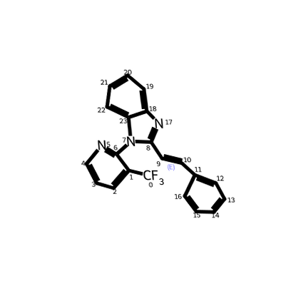 FC(F)(F)c1cccnc1-n1c(/C=C/c2ccccc2)nc2ccccc21